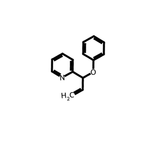 C=CC(Oc1ccccc1)c1ccccn1